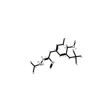 C=N/C(CC(=C/CC)/C=C(/CC(C)(C)C)C(C)OC)=N\NC(C)C